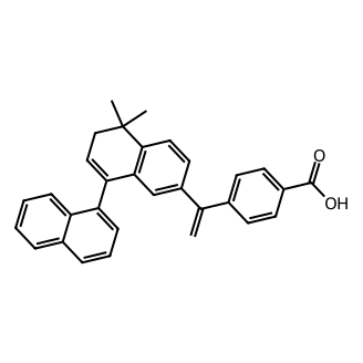 C=C(c1ccc(C(=O)O)cc1)c1ccc2c(c1)C(c1cccc3ccccc13)=CCC2(C)C